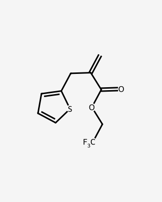 C=C(Cc1cccs1)C(=O)OCC(F)(F)F